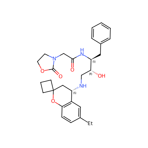 CCc1ccc2c(c1)[C@@H](NC[C@@H](O)[C@H](Cc1ccccc1)NC(=O)CN1CCOC1=O)CC1(CCC1)O2